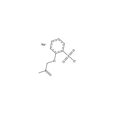 C=C(C)COc1ccccc1S(=O)(=O)[O-].[Na+]